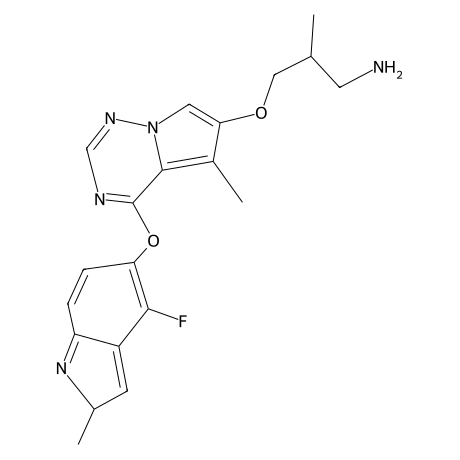 Cc1c(OCC(C)CN)cn2ncnc(Oc3ccc4c(c3F)=CC(C)N=4)c12